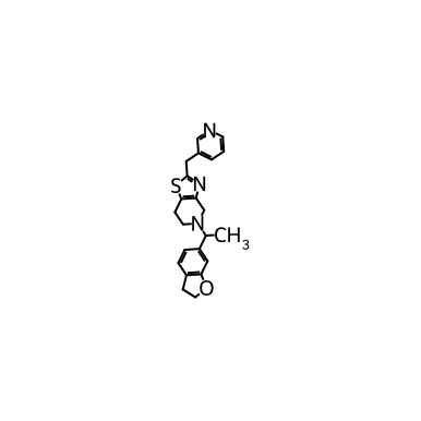 CC(c1ccc2c(c1)OCC2)N1CCc2sc(Cc3cccnc3)nc2C1